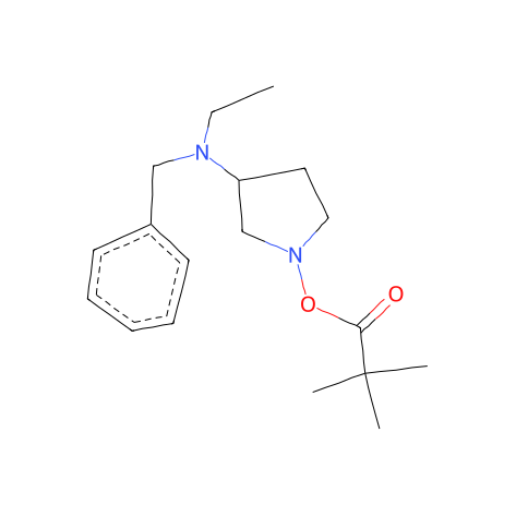 CCN(Cc1ccccc1)C1CCN(OC(=O)C(C)(C)C)C1